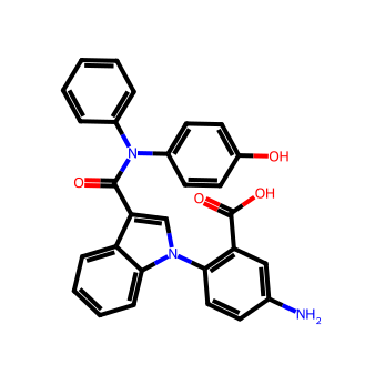 Nc1ccc(-n2cc(C(=O)N(c3ccccc3)c3ccc(O)cc3)c3ccccc32)c(C(=O)O)c1